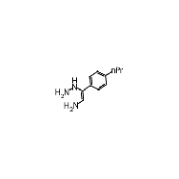 CCCc1ccc(/C(=C/N)NN)cc1